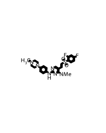 CNc1nc(Nc2ccc(N3CCN(C)CC3)cc2)ncc1C=CS(=O)(=O)c1ccc(F)cc1F